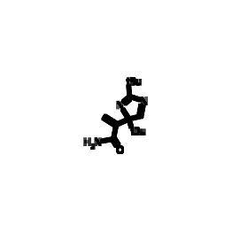 C=C(C(N)=O)C1(C(C)(C)C)C=NC(C(C)(C)C)=N1